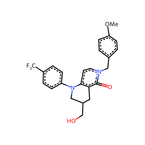 COc1ccc(Cn2ccc3c(c2=O)CC(CO)CN3c2ccc(C(F)(F)F)cc2)cc1